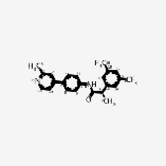 Cc1cc(-c2ccc(NC(=O)[C@H](C)c3cc(C(F)(F)F)cc(C(F)(F)F)c3)cc2)ccn1